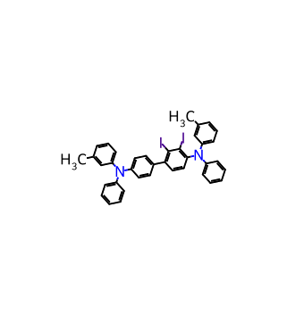 Cc1cccc(N(c2ccccc2)c2ccc(-c3ccc(N(c4ccccc4)c4cccc(C)c4)c(I)c3I)cc2)c1